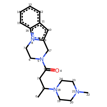 CC(CC(=O)N1CCn2c(cc3ccccc32)C1)N1CCN(C)CC1